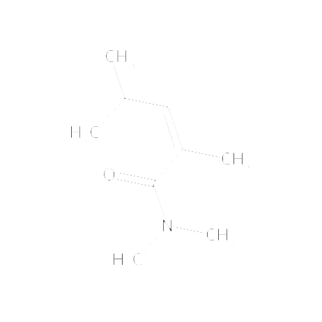 CC(=CC(C)C)C(=O)N(C)C